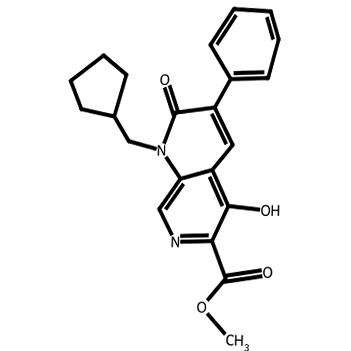 COC(=O)c1ncc2c(cc(-c3ccccc3)c(=O)n2CC2CCCC2)c1O